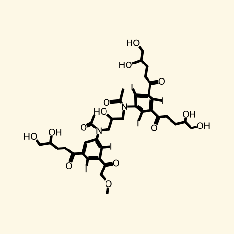 COCC(=O)c1c(I)c(C(=O)CCC(O)CO)cc(N(CC(O)CN(C(C)=O)c2c(I)c(C(=O)CCC(O)CO)c(I)c(C(=O)CCC(O)CO)c2I)C(C)=O)c1I